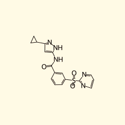 O=C(Nc1cc(C2CC2)n[nH]1)c1cccc(S(=O)(=O)c2ncccn2)c1